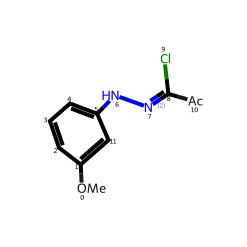 COc1cccc(N/N=C(\Cl)C(C)=O)c1